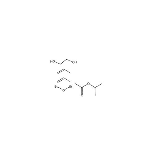 C=CC.C=CC.CC(=O)OC(C)C.CCOCC.OCCO